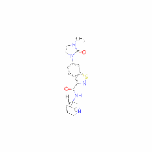 CN1CCN(c2ccc3c(C(=O)N[C@@H]4CN5CCC4CC5)nsc3c2)C1=O